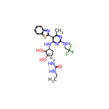 CCNC(=O)NC[C@H]1CC(Nc2nc(NCC(F)(F)F)nc(C)c2-c2nc3ccccc3s2)[C@H](O)[C@@H]1O